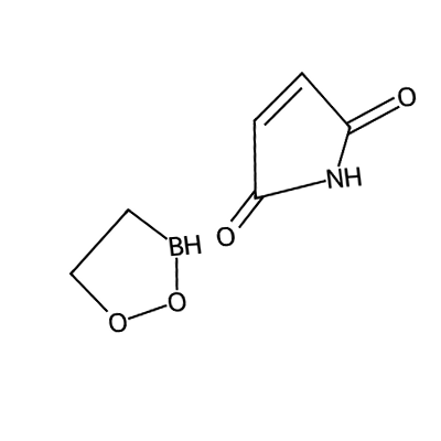 B1CCOO1.O=C1C=CC(=O)N1